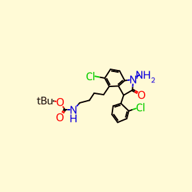 CC(C)(C)OC(=O)NCCCCc1c(Cl)ccc2c1C(c1ccccc1Cl)C(=O)N2N